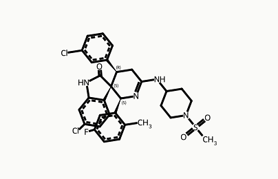 Cc1ccc(F)cc1[C@@H]1N=C(NC2CCN(S(C)(=O)=O)CC2)C[C@H](c2cccc(Cl)c2)[C@@]12C(=O)Nc1cc(Cl)ccc12